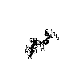 CCn1c(=C=C(C#N)C(=O)NCC#N)sc(=C=CNc2cccc(CCN(C)C3CCN(C)C3)c2)c1=O